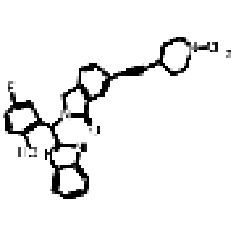 CN1CCC(C#Cc2ccc3c(c2)C(=O)N(C(c2nc4ccccc4[nH]2)c2cc(F)ccc2O)C3)CC1